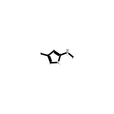 CNc1cc(C)cs1